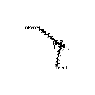 CCCCCC=CCC=CCCCCCCCCNC(=O)C(N)NC(=O)CCCCCCCC=CCCCCCCCC